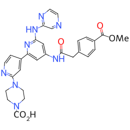 COC(=O)c1ccc(CC(=O)Nc2cc(Nc3cnccn3)nc(-c3ccnc(N4CCN(C(=O)O)CC4)c3)c2)cc1